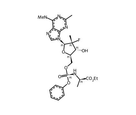 CCOC(=O)[C@@H](C)N[P@@](=O)(OC[C@H]1O[C@@H](n2cnc3c(NC)nc(C)nc32)[C@](C)(F)[C@@H]1O)Oc1ccccc1